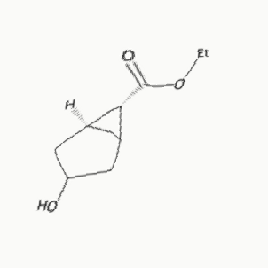 CCOC(=O)[C@@H]1C2CC(O)C[C@H]21